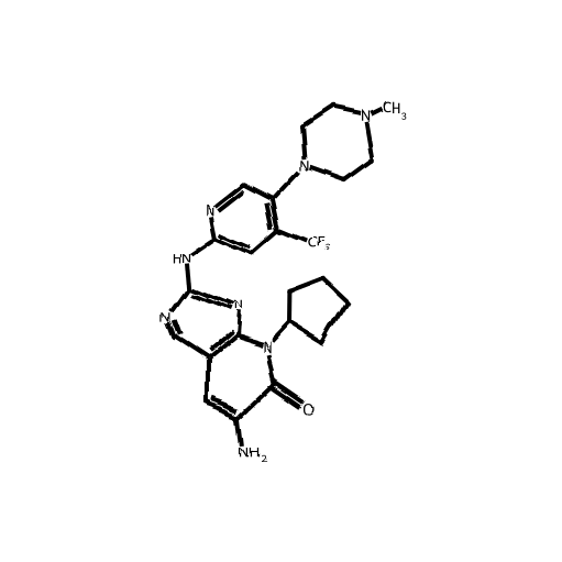 CN1CCN(c2cnc(Nc3ncc4cc(N)c(=O)n(C5CCCC5)c4n3)cc2C(F)(F)F)CC1